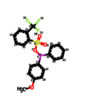 COc1ccc([I+](OS(=O)(=O)c2ccccc2C(F)(F)F)c2ccccc2)cc1